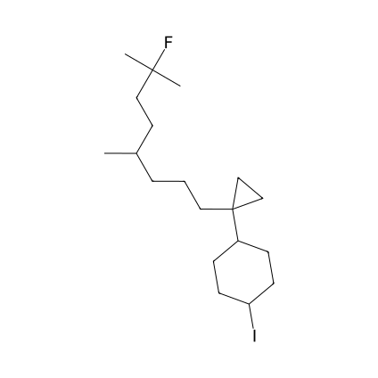 CC(CCCC1(C2CCC(I)CC2)CC1)CCC(C)(C)F